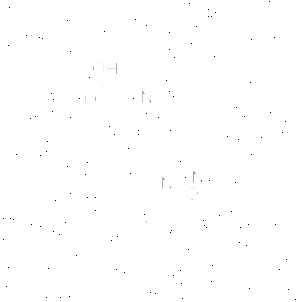 O=C(O)C1CN(Cc2ccc(-c3noc(-c4ccco4)n3)c3ccccc23)C1